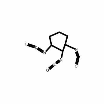 O=C=NC1CCCC(N=C=O)C1N=C=O